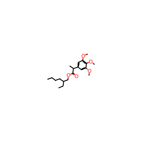 CCCCC(CC)COC(=O)C(C)c1cc(OC)c(OC)c(OC)c1